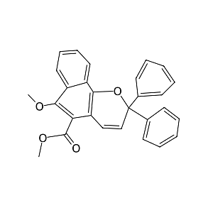 COC(=O)c1c2c(c3ccccc3c1OC)OC(c1ccccc1)(c1ccccc1)C=C2